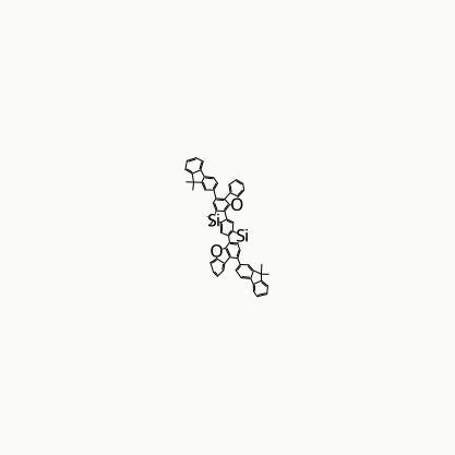 CC1(C)c2ccccc2-c2ccc(-c3cc4c(c5oc6ccccc6c35)-c3cc5c(cc3[Si]4(C)C)-c3c(cc(-c4ccc6c(c4)C(C)(C)c4ccccc4-6)c4c3oc3ccccc34)[Si]5(C)C)cc21